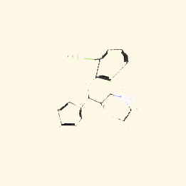 Fc1ccc(C(Oc2c(F)cccc2F)C2CNCCO2)cc1